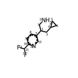 NCC(CC1CC1)c1ccc(C(F)F)nc1